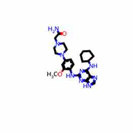 COc1cc(N2CCN(CC(N)=O)CC2)ccc1Nc1nc(NC2CCCCC2)c2nc[nH]c2n1